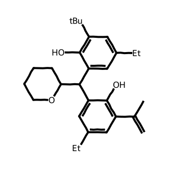 C=C(C)c1cc(CC)cc(C(c2cc(CC)cc(C(C)(C)C)c2O)C2CCCCO2)c1O